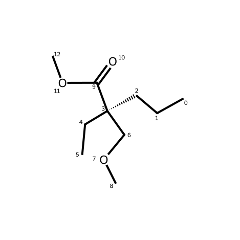 CCC[C@@](CC)(COC)C(=O)OC